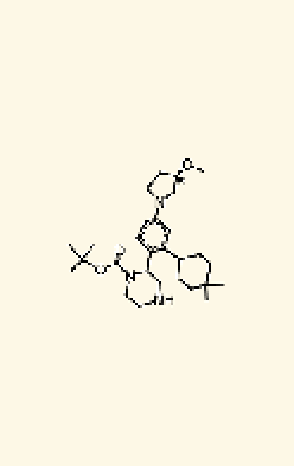 CO[C@@H]1CCN(c2ccc(C3CNCCN3C(=O)OC(C)(C)C)c(C3CCC(C)(C)CC3)c2)C1